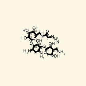 [N-]=[N+]=NCC(=O)NCC1O[C@H](O[C@@H]2C(N)C[C@@H](N)C(O[C@H]3OC[C@H](O)C(CN)[C@H]3O)[C@H]2O)C(O)[C@@H](O)[C@@H]1O